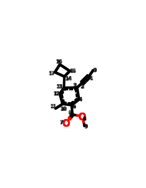 CC#Cc1cc(C(=O)OC)c(C)cc1C1CCC1